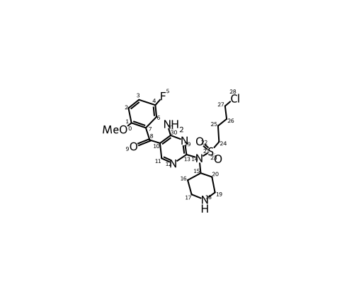 COc1ccc(F)cc1C(=O)c1cnc(N(C2CCNCC2)S(=O)(=O)CCCCCl)nc1N